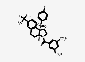 O=C(O)c1cc(C(=O)O)cc(C(=O)N2CC[C@@]3(S(=O)(=O)c4ccc(F)cc4)c4ccc(C(F)(C(F)(F)F)C(F)(F)F)cc4CC[C@@H]23)c1